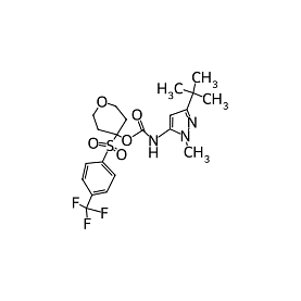 Cn1nc(C(C)(C)C)cc1NC(=O)OC1(S(=O)(=O)c2ccc(C(F)(F)F)cc2)CCOCC1